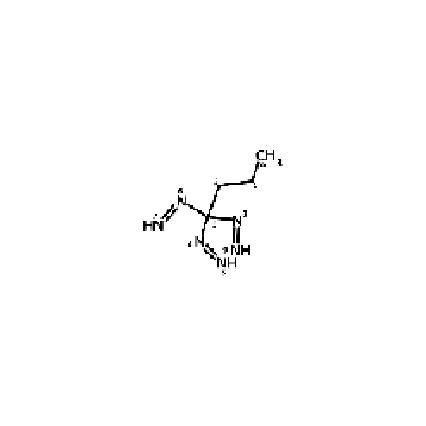 CCCC(N=N)(N=N)N=N